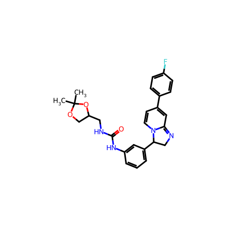 CC1(C)OCC(CNC(=O)Nc2cccc(C3CN=C4C=C(c5ccc(F)cc5)C=CN43)c2)O1